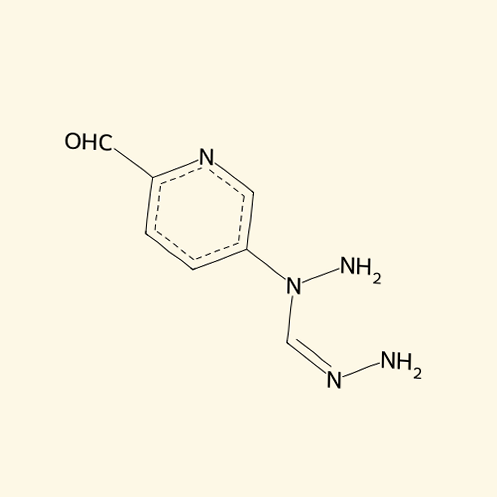 N/N=C\N(N)c1ccc(C=O)nc1